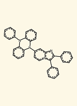 c1ccc(-c2nc3cc(N4c5ccccc5N(c5ccccc5)c5ccccc54)ccn3c2-c2ccccc2)cc1